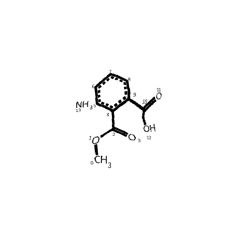 COC(=O)c1ccccc1C(=O)O.N